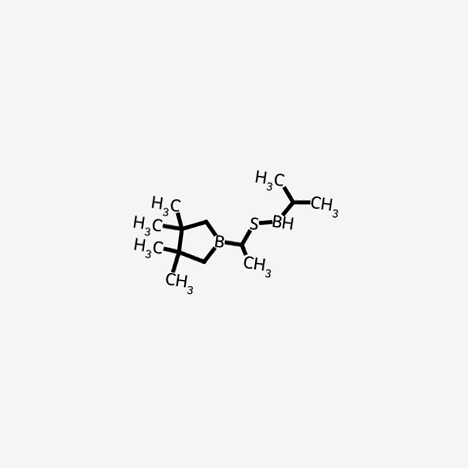 CC(C)BSC(C)B1CC(C)(C)C(C)(C)C1